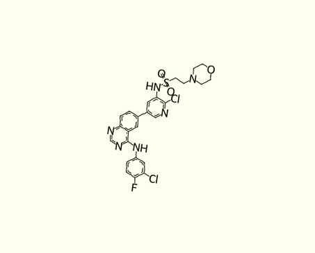 O=S(=O)(CCN1CCOCC1)Nc1cc(-c2ccc3ncnc(Nc4ccc(F)c(Cl)c4)c3c2)cnc1Cl